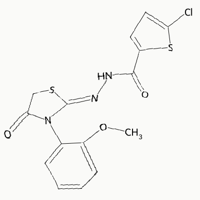 COc1ccccc1N1C(=O)CSC1=NNC(=O)c1ccc(Cl)s1